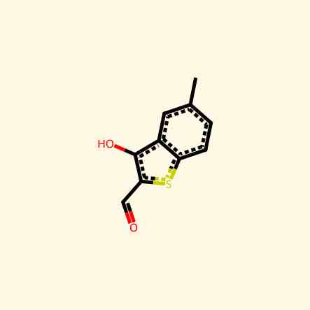 Cc1ccc2sc(C=O)c(O)c2c1